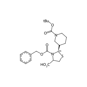 CC(C)(C)OC(=O)N1CCCC([C@H]2SCC(C(=O)O)N2C(=O)OCc2ccccc2)C1